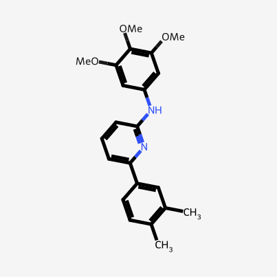 COc1cc(Nc2cccc(-c3ccc(C)c(C)c3)n2)cc(OC)c1OC